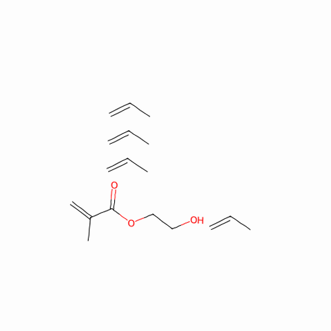 C=C(C)C(=O)OCCO.C=CC.C=CC.C=CC.C=CC